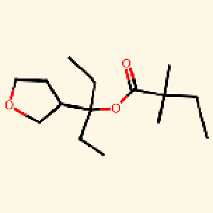 CCC(C)(C)C(=O)OC(CC)(CC)C1CCOC1